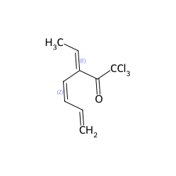 C=C/C=C\C(=C/C)C(=O)C(Cl)(Cl)Cl